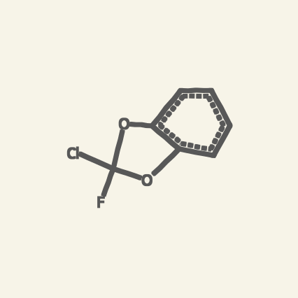 FC1(Cl)Oc2ccccc2O1